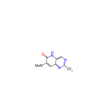 CNc1cc2nc(C(F)(F)F)ncc2[nH]c1=O